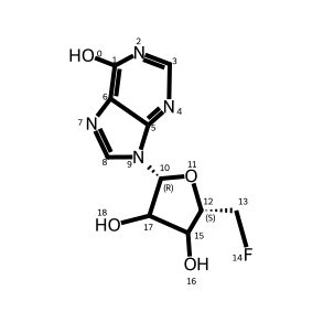 Oc1ncnc2c1ncn2[C@@H]1O[C@H](CF)C(O)C1O